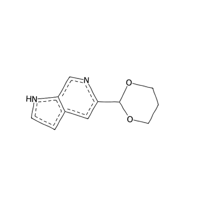 c1cc2cc(C3OCCCO3)ncc2[nH]1